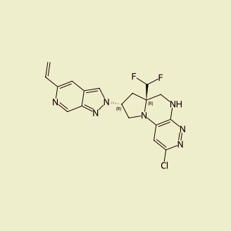 C=Cc1cc2cn([C@H]3CN4c5cc(Cl)nnc5NC[C@@]4(C(F)F)C3)nc2cn1